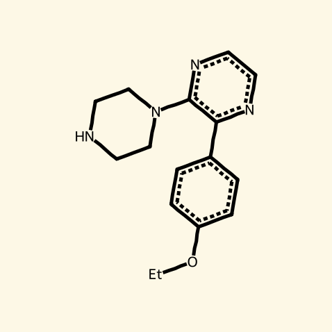 CCOc1ccc(-c2nccnc2N2CCNCC2)cc1